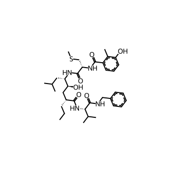 CCC[C@H](C[C@H](O)[C@H](CC(C)C)NC(=O)[C@H](CSC)NC(=O)c1cccc(O)c1C)C(=O)N[C@H](C(=O)NCc1ccccc1)C(C)C